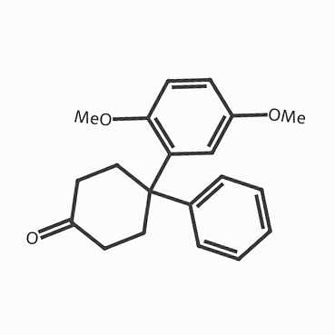 COc1ccc(OC)c(C2(c3ccccc3)CCC(=O)CC2)c1